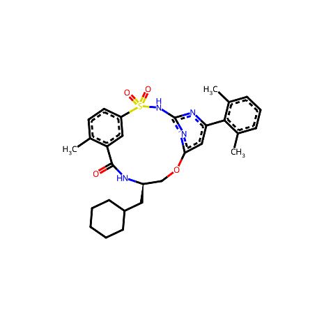 Cc1ccc2cc1C(=O)N[C@H](CC1CCCCC1)COc1cc(-c3c(C)cccc3C)nc(n1)NS2(=O)=O